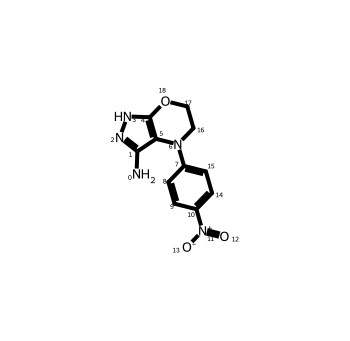 Nc1n[nH]c2c1N(c1ccc([N+](=O)[O-])cc1)CCO2